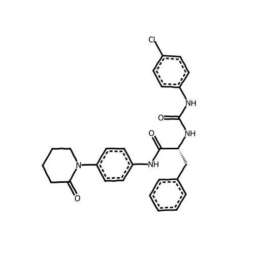 O=C(Nc1ccc(Cl)cc1)N[C@H](Cc1ccccc1)C(=O)Nc1ccc(N2CCCCC2=O)cc1